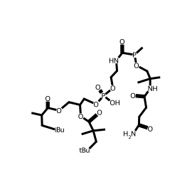 CCC(C)CC(C)C(=O)OCC(COP(=O)(O)OCCNC(=O)P(C)OCC(C)(C)NC(=O)CCC(N)=O)OC(=O)C(C)(C)CC(C)(C)C